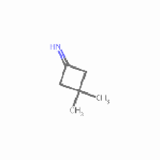 CC1(C)CC(=N)C1